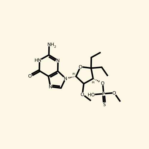 CCC1(CC)O[C@@H](n2cnc3c(=O)[nH]c(N)nc32)C(OC)[C@H]1OP(O)(=S)OC